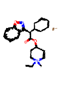 CC[N+]1(C)CCC(OC(=O)C(c2noc3ccccc23)C2CCCCC2)CC1.[Br-]